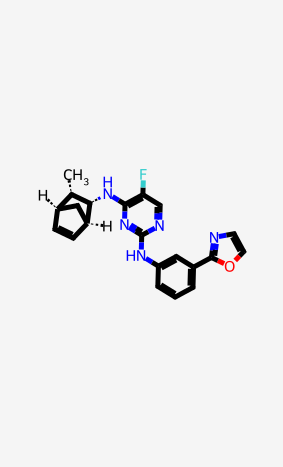 C[C@@H]1[C@H](Nc2nc(Nc3cccc(-c4ncco4)c3)ncc2F)[C@H]2C=C[C@@H]1C2